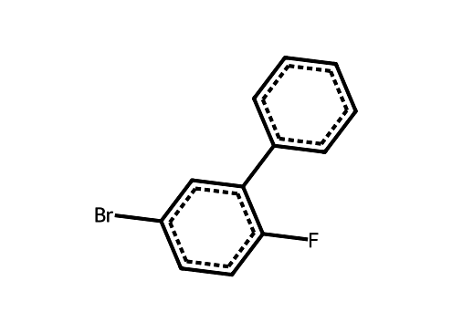 Fc1ccc(Br)cc1-c1ccccc1